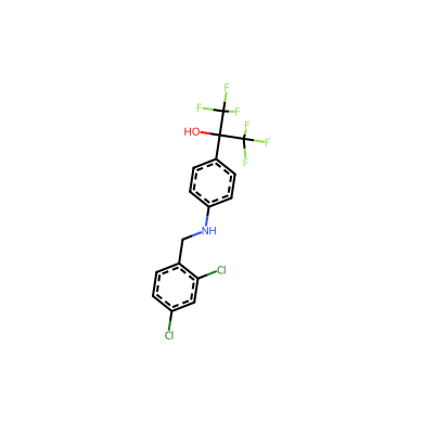 OC(c1ccc(NCc2ccc(Cl)cc2Cl)cc1)(C(F)(F)F)C(F)(F)F